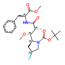 COC(=O)[C@H](Cc1ccccc1)NC(=O)[C@H](C)[C@@H](OC)[C@@H]1C[C@H](F)CN1C(=O)OC(C)(C)C